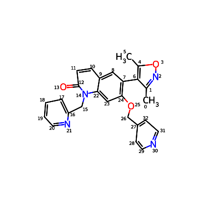 Cc1noc(C)c1-c1cc2ccc(=O)n(Cc3ccccn3)c2cc1OCc1ccncc1